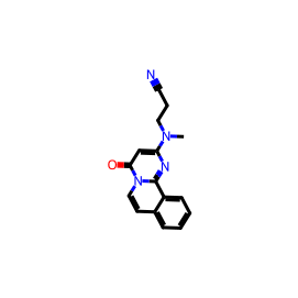 CN(CCC#N)c1cc(=O)n2ccc3ccccc3c2n1